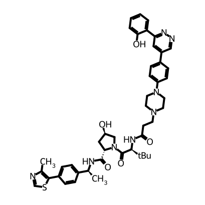 Cc1ncsc1-c1ccc([C@H](C)NC(=O)[C@@H]2C[C@@H](O)CN2C(=O)[C@@H](NC(=O)CCN2CCN(c3ccc(-c4cnnc(-c5ccccc5O)c4)cc3)CC2)C(C)(C)C)cc1